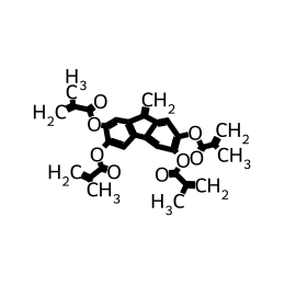 C=C(C)C(=O)Oc1cc2c(cc1OC(=O)C(=C)C)-c1cc(OC(=O)C(=C)C)c(OC(=O)C(=C)C)cc1C2=C